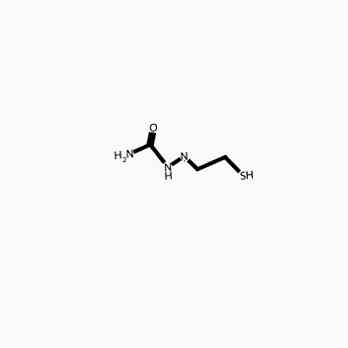 NC(=O)N[N]CCS